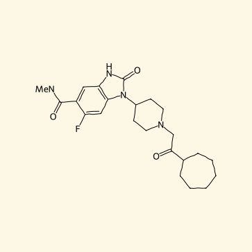 CNC(=O)c1cc2[nH]c(=O)n(C3CCN(CC(=O)C4CCCCCC4)CC3)c2cc1F